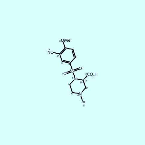 COc1ccc(S(=O)(=O)N2CCN(C(C)=O)C[C@@H]2C(=O)O)cc1C#N